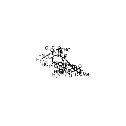 COC1=C(C)C(=O)C2=C(C1=O)[C@H](COC(N)=O)[C@]1(OC)C3C(CN21)N3C(=O)CCCN1C(=O)CC(SC[C@H](C=O)NC(=O)[C@@H](CC=O)NC(=O)[C@@H](CCCNC(=N)N)NC(=O)CC[C@@H](NC(=O)c2ccc(NCc3cnc4nc(N)[nH]c(=O)c4n3)cc2)C(=O)O)C1=O